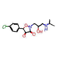 CC(C)NCC(O)CN1OC(c2ccc(Cl)cc2)C(=O)C1=O